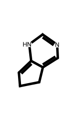 [C]1=NC=C2CCC=C2N1